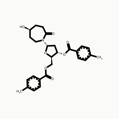 Cc1ccc(C(=O)OC[C@H]2O[C@H](N3CC[C@@H](O)CCC3=O)C[C@@H]2OC(=O)c2ccc(C)cc2)cc1